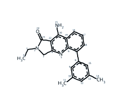 CCN1Cc2nc3c(-c4cc(C)cc(C)c4)cccc3c(N)c2C1=O